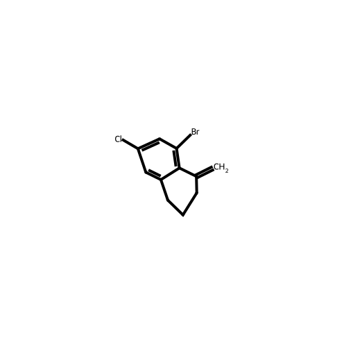 C=C1CCCc2cc(Cl)cc(Br)c21